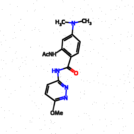 COc1ccc(NC(=O)c2ccc(N(C)C)cc2NC(C)=O)nn1